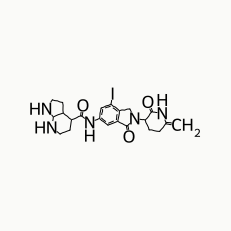 C=C1CCC(N2Cc3c(I)cc(NC(=O)C4CCNC5NCCC54)cc3C2=O)C(=O)N1